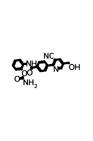 N#Cc1cc(CO)cnc1-c1ccc(C(=O)Nc2ccccc2OC(N)=O)cc1